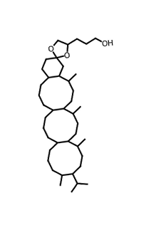 CC(C)C1CCC(C)C2CCC(C)C3CCC(C)C4CC5(CCC4CCCC3CCCC2CCCC1C)OCC(CCCO)O5